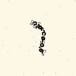 CN(c1ccc(C#N)c(Cl)c1)[C@@H]1CCc2oc(-c3ccc(N4CCC(CN5Cc6cc7c(cc6C5)C(=O)N(C5CCC(=O)NC5=O)C7=O)CC4)cc3)nc2C1